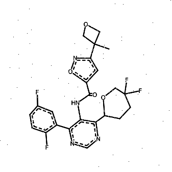 CC1(c2cc(C(=O)Nc3c(-c4cc(F)ccc4F)ncnc3C3CCC(F)(F)CO3)on2)COC1